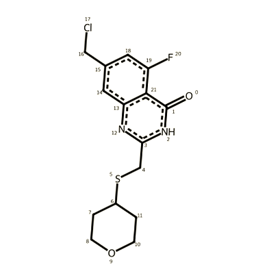 O=c1[nH]c(CSC2CCOCC2)nc2cc(CCl)cc(F)c12